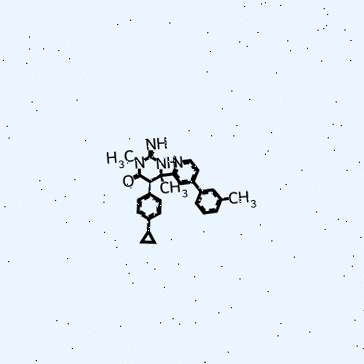 Cc1cccc(-c2ccnc([C@@]3(C)NC(=N)N(C)C(=O)[C@@H]3c3ccc(C4CC4)cc3)c2)c1